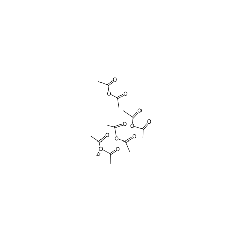 CC(=O)OC(C)=O.CC(=O)OC(C)=O.CC(=O)OC(C)=O.CC(=O)OC(C)=O.[Zr]